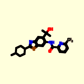 CC1CCC(c2nc3cc(C(C)(C)O)c(NC(=O)c4cccc(C(F)(F)F)n4)cc3s2)CC1